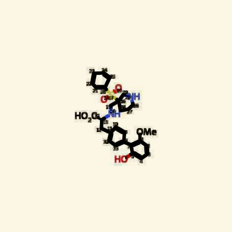 COc1cccc(O)c1-c1ccc(C[C@H](NCC2(S(=O)(=O)c3ccccc3)CCCNC2)C(=O)O)cc1